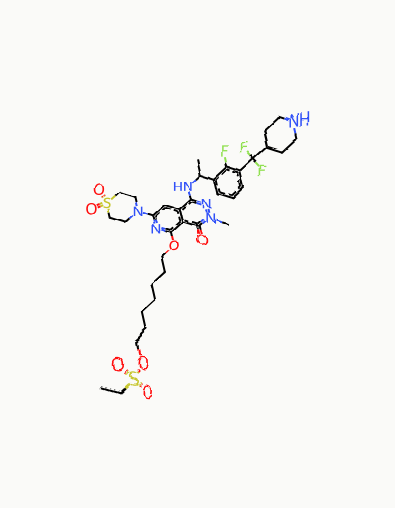 CCS(=O)(=O)OCCCCCCCOc1nc(N2CCS(=O)(=O)CC2)cc2c(NC(C)c3cccc(C(F)(F)C4CCNCC4)c3F)nn(C)c(=O)c12